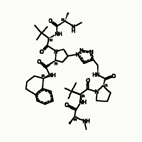 CN[C@@H](C)C(=O)N[C@H](C(=O)N1CCC[C@H]1C(=O)NCc1cn(C2C[C@@H](C(=O)N[C@@H]3CCCc4ccccc43)N(C(=O)[C@@H](NC(=O)[C@H](C)NC)C(C)(C)C)C2)nn1)C(C)(C)C